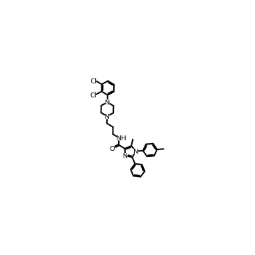 Cc1ccc(-n2c(-c3ccccc3)nc(C(=O)NCCCN3CCN(c4cccc(Cl)c4Cl)CC3)c2C)cc1